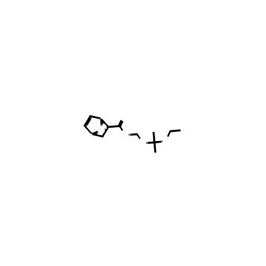 CCOC(C)(C)OCOC(=O)C1CC2C=CC1O2